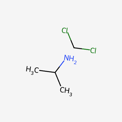 CC(C)N.ClCCl